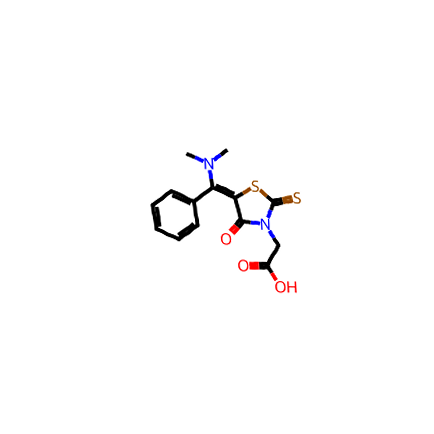 CN(C)C(=C1SC(=S)N(CC(=O)O)C1=O)c1ccccc1